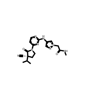 CNC(=O)Cn1cc(Nc2nccc(N3CC[C@@](C#N)(C(C)C)C3=O)n2)cn1